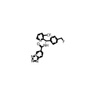 O=C(N[C@@H](c1ccc(CF)cc1)c1ncccc1C(F)(F)F)c1ccc2nnnn2c1